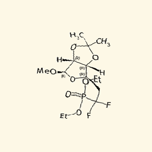 CCOP(=O)(OCC)C(F)(F)C[C@H]1O[C@@H](OC)[C@@H]2OC(C)(C)O[C@@H]21